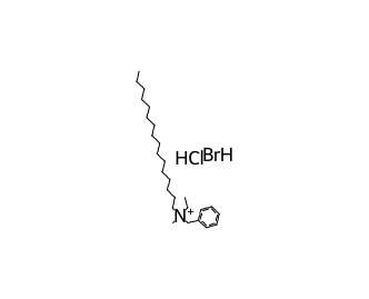 Br.CCCCCCCCCCCCCCCC[N+](C)(CC)Cc1ccccc1.Cl